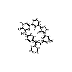 Cc1c(-c2cn(C)c(=O)c(Nc3ccc(C(=O)N4CCOCC4)cc3)n2)cccc1N1CCN(c2cc(F)cc(F)c2)C1=O